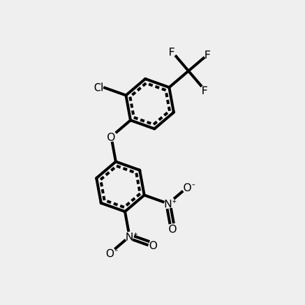 O=[N+]([O-])c1ccc(Oc2ccc(C(F)(F)F)cc2Cl)cc1[N+](=O)[O-]